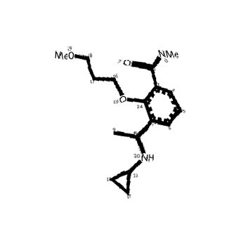 CNC(=O)c1cccc(C(C)NC2CC2)c1OCCCOC